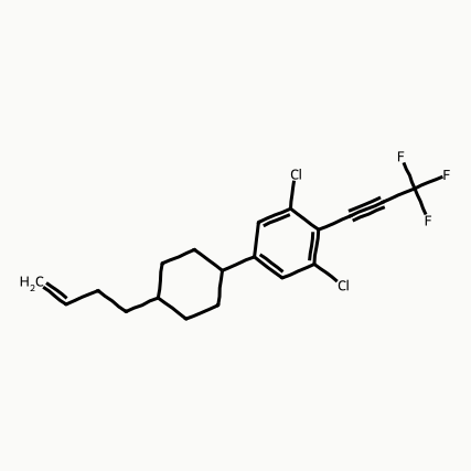 C=CCCC1CCC(c2cc(Cl)c(C#CC(F)(F)F)c(Cl)c2)CC1